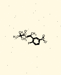 CC(=N[S@@+]([O-])C(C)(C)C)c1cc([N+](=O)[O-])ccc1F